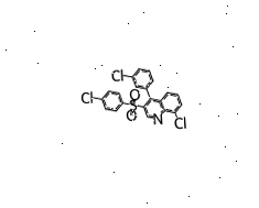 O=S(=O)(c1ccc(Cl)cc1)c1cnc2c(Cl)cccc2c1-c1cccc(Cl)c1